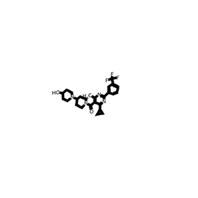 Cc1nc(-c2cccc(C(F)(F)F)c2)nc(C2CC2)c1C(=O)N1CCC(N2CCC(O)CC2)CC1